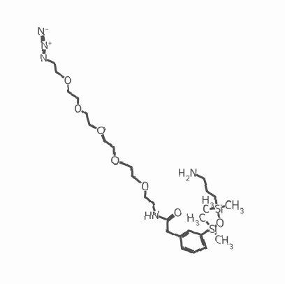 C[Si](C)(CCCN)O[Si](C)(C)c1cccc(CC(=O)NCCOCCOCCOCCOCCOCCN=[N+]=[N-])c1